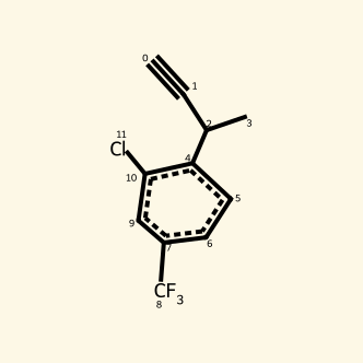 C#CC(C)c1ccc(C(F)(F)F)cc1Cl